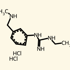 CCNC(=N)Nc1cccc(CNC)c1.Cl.Cl